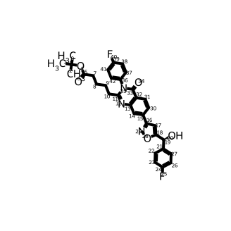 CC(C)(C)OC(=O)CCCCc1nc2cc(-c3cc([C@@H](O)c4ccc(F)cc4)on3)ccc2c(=O)n1-c1ccc(F)cc1